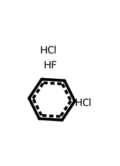 Cl.Cl.F.c1ccccc1